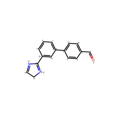 O=Cc1ccc(-c2cccc(C3=NCC=N3)c2)cc1